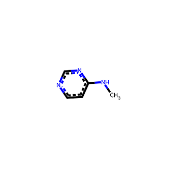 CNc1ccncn1